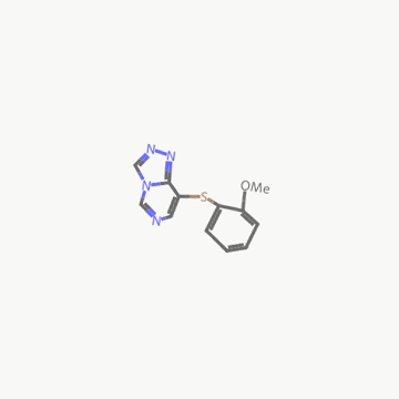 COc1ccccc1Sc1cncn2cnnc12